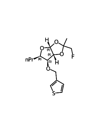 CCC[C@H]1O[C@@H]2OC(C)(CF)O[C@@H]2[C@H]1OCc1ccsc1